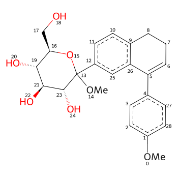 COc1ccc(C2=CCCc3ccc(C4(OC)O[C@H](CO)[C@@H](O)[C@H](O)[C@H]4O)cc32)cc1